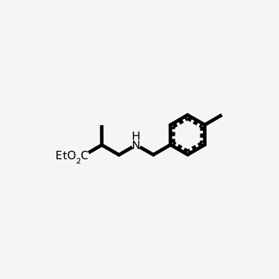 CCOC(=O)C(C)CNCc1ccc(C)cc1